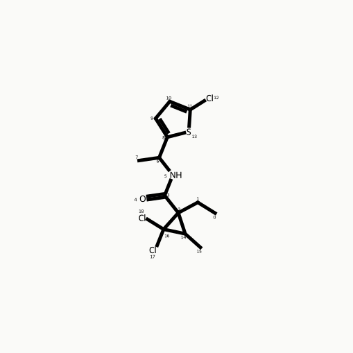 CCC1(C(=O)NC(C)c2ccc(Cl)s2)C(C)C1(Cl)Cl